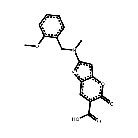 COc1ccccc1CN(C)c1cc2oc(=O)c(C(=O)O)cc2s1